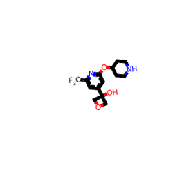 OC1(c2cc(OC3CCNCC3)nc(C(F)(F)F)c2)COC1